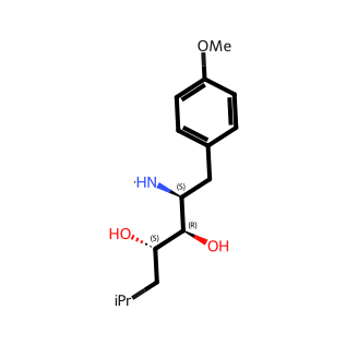 COc1ccc(C[C@H]([NH])[C@@H](O)[C@@H](O)CC(C)C)cc1